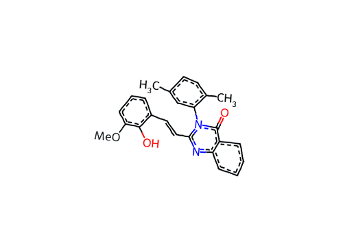 COc1cccc(C=Cc2nc3ccccc3c(=O)n2-c2cc(C)ccc2C)c1O